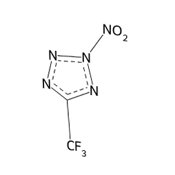 O=[N+]([O-])n1nnc(C(F)(F)F)n1